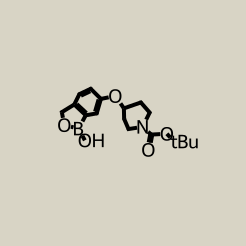 CC(C)(C)OC(=O)N1CCC(Oc2ccc3c(c2)B(O)OC3)CC1